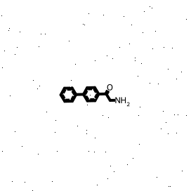 NCC(=O)c1ccc(-c2ccccc2)cc1